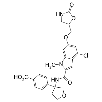 Cn1c(C(=O)NC2(c3ccc(C(=O)O)cc3)CCOC2)cc2c(Cl)cc(OCC3CNC(=O)O3)cc21